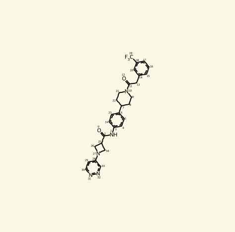 O=C(Nc1ccc(C2CCN(C(=O)Cc3cccc(C(F)(F)F)c3)CC2)cc1)C1CN(c2ccnnc2)C1